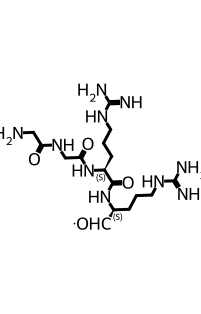 N=C(N)NCCC[C@@H]([C]=O)NC(=O)[C@H](CCCNC(=N)N)NC(=O)CNC(=O)CN